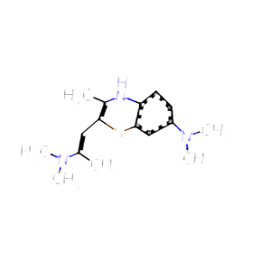 CC1=C(/C=C(\C)N(C)C)Sc2cc(N(C)C)ccc2N1